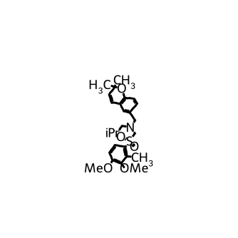 COc1ccc(S(=O)(=O)CN(Cc2ccc3c(c2)C=CC(C)(C)O3)CC(C)C)c(C)c1OC